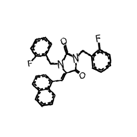 O=C1/C(=C/c2cccc3ccccc23)N(Cc2ccccc2F)C(=O)N1Cc1ccccc1F